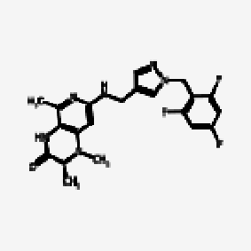 Cc1nc(NCc2cnn(Cc3c(F)cc(F)cc3F)c2)cc2c1NC(=O)[C@H](C)N2C